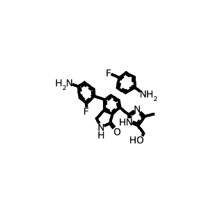 Cc1nc(-c2ccc(-c3ccc(N)cc3F)c3c2C(=O)NC3)[nH]c1CO.Nc1ccc(F)cc1